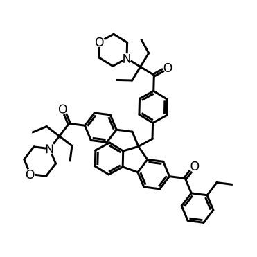 CCc1ccccc1C(=O)c1ccc2c(c1)C(Cc1ccc(C(=O)C(CC)(CC)N3CCOCC3)cc1)(Cc1ccc(C(=O)C(CC)(CC)N3CCOCC3)cc1)c1ccccc1-2